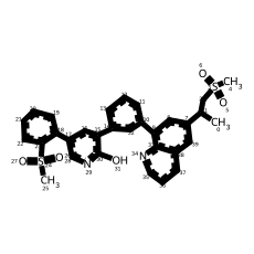 CC(CS(C)(=O)=O)c1cc(-c2cccc(-c3cc(-c4ccccc4S(C)(=O)=O)cnc3O)c2)c2ncccc2c1